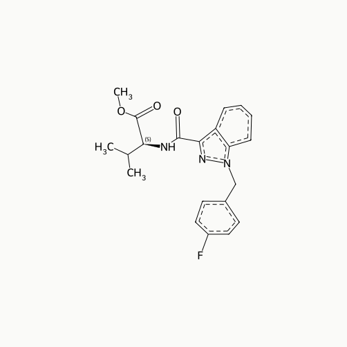 COC(=O)[C@@H](NC(=O)c1nn(Cc2ccc(F)cc2)c2ccccc12)C(C)C